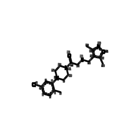 Cc1ccc(Cl)cc1N1CCN(C(=O)CSCc2c(C)noc2C)CC1